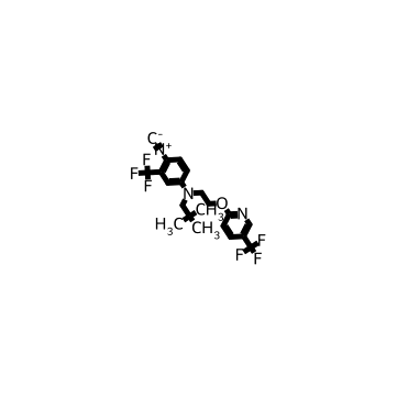 [C-]#[N+]c1ccc(N(CCOc2ccc(C(F)(F)F)cn2)CC(C)(C)C)cc1C(F)(F)F